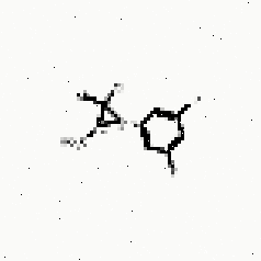 O=C(O)[C@@H]1[C@@H](c2cc(F)cc(Br)c2)C1(Cl)Cl